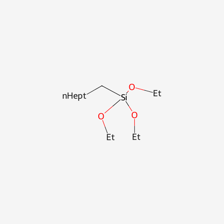 CCCCCCCC[Si](OCC)(OCC)OCC